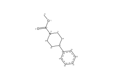 COC(=O)N1CCC(c2cc[c]cc2)CC1